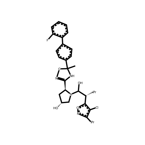 CC(C)c1noc([C@@H](C(C)C)C(O)N2C[C@H](O)C[C@H]2C2=NOC(C)(c3ccc(-c4ccccc4F)cc3)N2)c1Cl